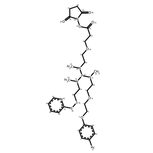 CC(=O)c1ccc(OCCOCCN(C)P(N(C)CCOCCC(=O)ON2C(=O)CCC2=O)N(C)CCSSc2ccccn2)cc1